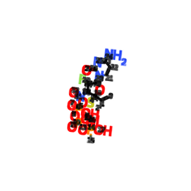 C=C(C)[C@]1(SOP(=O)(O)OP(=O)(O)OP(C)(=O)O)O[C@@H](n2ccc(N)nc2=O)[C@H](F)[C@@H]1N=O